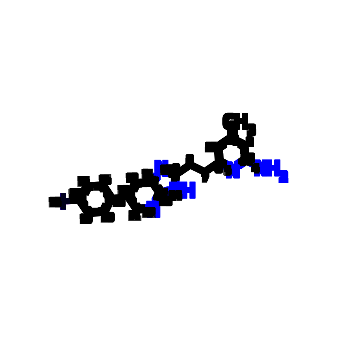 Cc1cc(N)nc(CCc2nc3cc(-c4ccc(I)cc4)cnc3[nH]2)c1